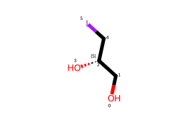 OC[C@H](O)CI